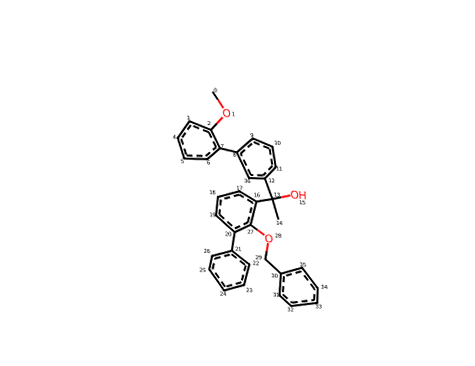 COc1ccccc1-c1cccc(C(C)(O)c2cccc(-c3ccccc3)c2OCc2ccccc2)c1